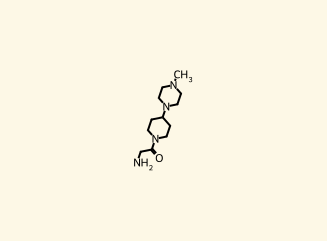 CN1CCN(C2CCN(C(=O)CN)CC2)CC1